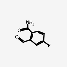 NC(=O)c1ccc(F)cc1C=O